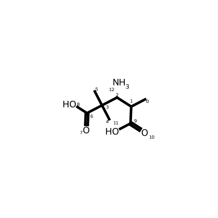 CC(CC(C)(C)C(=O)O)C(=O)O.N